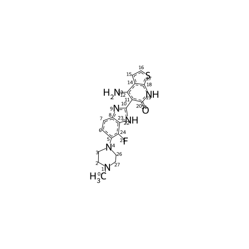 CN1CCN(c2ccc3nc(-c4c(N)c5ccsc5[nH]c4=O)[nH]c3c2F)CC1